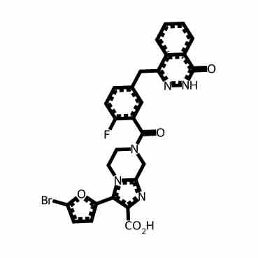 O=C(O)c1nc2n(c1-c1ccc(Br)o1)CCN(C(=O)c1cc(Cc3n[nH]c(=O)c4ccccc34)ccc1F)C2